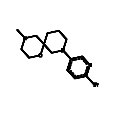 CC(C)c1ccc(N2CCCC3(CN(C)CCO3)C2)cn1